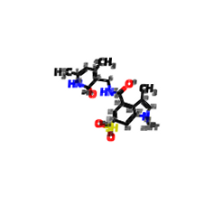 Cc1cc(C)c(CNC(=O)c2cc([SH](=O)=O)cc3c2c(C)cn3C(C)C)c(=O)[nH]1